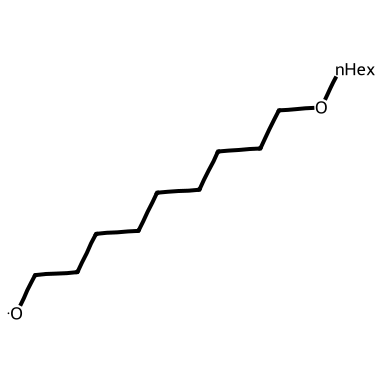 CCCCCCOCCCCCCCCC[O]